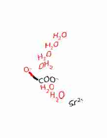 O.O.O.O.O.O.O=C([O-])[O-].[Sr+2]